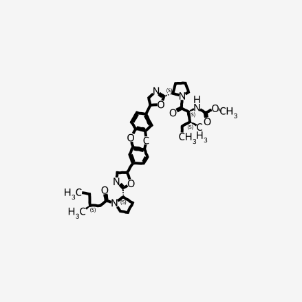 CC[C@H](C)CC(=O)N1CCC[C@H]1C1=NCC(c2ccc3c(c2)Oc2ccc(C4CN=C([C@@H]5CCCN5C(=O)[C@@H](NC(=O)OC)[C@@H](C)CC)O4)cc2C3)O1